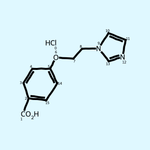 Cl.O=C(O)c1ccc(OCCn2ccnc2)cc1